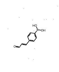 O=[C]/C=C/c1ccc(B(O)O)cc1